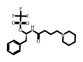 O=C(CCCN1CCCCC1)N[C@@H](Cc1ccccc1)OS(=O)(=O)C(F)(F)F